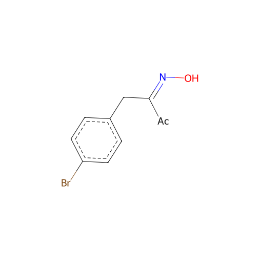 CC(=O)/C(Cc1ccc(Br)cc1)=N\O